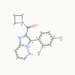 O=C(c1nc2cccnn2c1-c1ccc(Cl)cc1Cl)N1CCC1